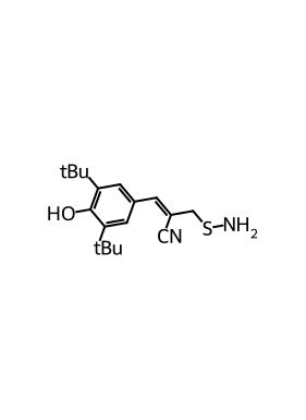 CC(C)(C)c1cc(/C=C(\C#N)CSN)cc(C(C)(C)C)c1O